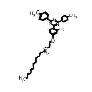 CCCCCCCCCCCC(=O)OCCOc1ccc(-c2nc(-c3ccc(C)cc3)nc(-c3ccc(C)cc3)n2)c(O)c1